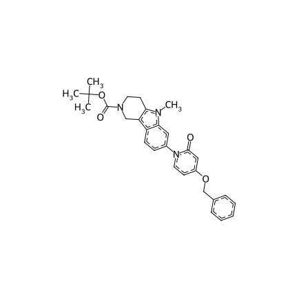 Cn1c2c(c3ccc(-n4ccc(OCc5ccccc5)cc4=O)cc31)CN(C(=O)OC(C)(C)C)CC2